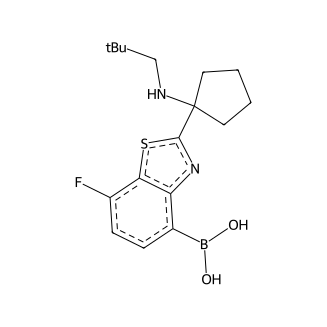 CC(C)(C)CNC1(c2nc3c(B(O)O)ccc(F)c3s2)CCCC1